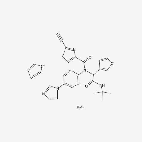 C#Cc1nc(C(=O)N(c2ccc(-n3ccnc3)cc2)C(C(=O)NC(C)(C)C)c2cc[cH-]c2)cs1.[Fe+2].c1cc[cH-]c1